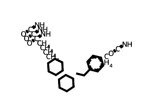 C.C.C.C.C.C1CCCCC1.C1CCCCC1.CCc1ccccc1.N=C=O.N=C=O.N=C=O.N=C=O